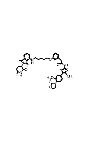 Cc1cc(-c2nc(NC(=O)Cc3cccc(OCCCCCNc4cccc5c4C(=O)N(C4CCC(=O)NC4=O)C5=O)c3)sc2C)ccc1N1CCOC1=O